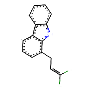 BrC(Br)=CCc1cccc2c1[nH]c1ccccc12